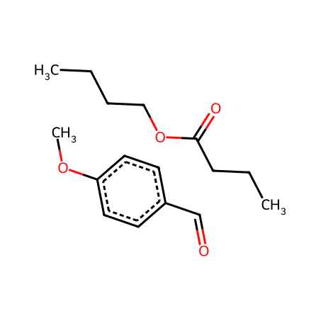 CCCCOC(=O)CCC.COc1ccc(C=O)cc1